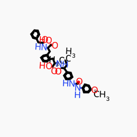 COc1ccc(NC(=O)Nc2ccc(C(CC(C)C)C(=O)NC(Cc3ccccc3CC(NC(=O)Cc3ccccc3)C(=O)O)C(=O)O)cc2)cc1